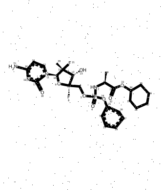 C[C@H](NP(=O)(OC[C@@]1(F)O[C@@H](n2ccc(N)nc2=O)[C@](C)(F)[C@@H]1O)Oc1ccccc1)C(=O)OC1CCCCC1